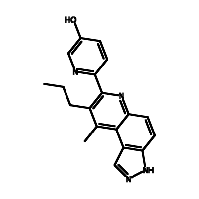 CCCc1c(-c2ccc(O)cn2)nc2ccc3[nH]ncc3c2c1C